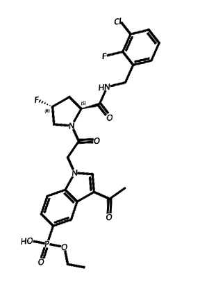 CCOP(=O)(O)c1ccc2c(c1)c(C(C)=O)cn2CC(=O)N1C[C@H](F)C[C@H]1C(=O)NCc1cccc(Cl)c1F